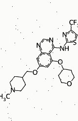 CN1CCC(COc2cc(OC3CCOCC3)c3c(Nc4nc(C(F)(F)F)cs4)ncnc3c2)CC1